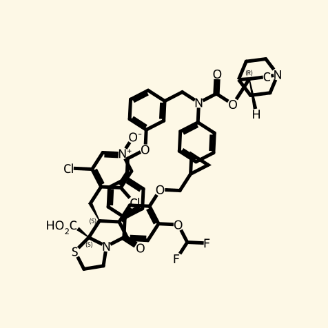 O=C(O[C@H]1CN2CCC1CC2)N(Cc1cccc(OCc2ccc(C(=O)N3CCS[C@]3(C(=O)O)[C@@H](Cc3c(Cl)c[n+]([O-])cc3Cl)c3ccc(OC(F)F)c(OCC4CC4)c3)cc2)c1)c1ccccc1